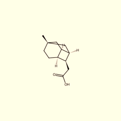 C[C@]12CC[C@@H]3[C@H](CC(=O)O)[C@H](C1)[C@@H]3C2